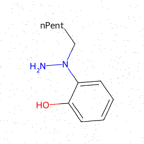 CCCCCCN(N)c1ccccc1O